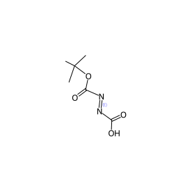 CC(C)(C)OC(=O)/N=N/C(=O)O